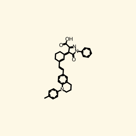 Cc1ccc(N2CCCc3cc(/C=C/C4=CC(=C5\C(=O)N(c6ccccc6)N=C5C(=O)O)/CCC4)ccc32)cc1